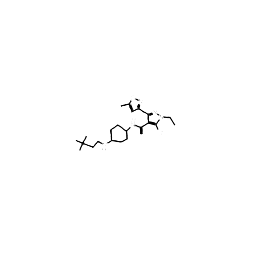 CCn1nc(-c2cc(C)on2)c(C(=O)NC2CCC(NCCC(C)(C)C)CC2)c1Cl